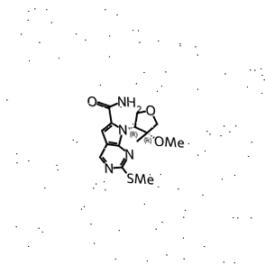 CO[C@@]1(C)COC[C@H]1n1c(C(N)=O)cc2cnc(SC)nc21